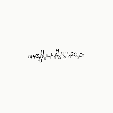 CCCOC(=O)NCCCCCNCCCCCC(=O)OCC